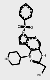 N#CCC(=O)Nc1cnc2c(ccn2S(=O)(=O)c2ccccc2)c1NC1CCNCC1